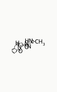 Cc1c[nH]c(-c2noc([C@H]3CC[C@H]4CCc5ccccc5C(=O)N4C3)n2)c1